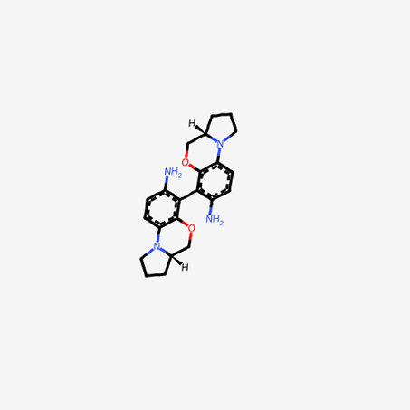 Nc1ccc2c(c1-c1c(N)ccc3c1OC[C@@H]1CCCN31)OC[C@@H]1CCCN21